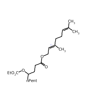 CCCCCC(CCC(=O)OC/C=C(\C)CCC=C(C)C)OC(=O)OCC